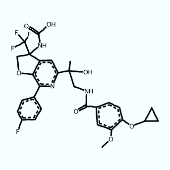 COc1cc(C(=O)NCC(C)(O)c2cc3c(c(-c4ccc(F)cc4)n2)OCC3(NC(=O)O)C(F)(F)F)ccc1OC1CC1